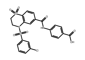 O=C(O)c1ccc(NC(=O)c2ccc3c(c2)N(S(=O)(=O)c2cccc(Cl)c2)CCS3(=O)=O)cc1